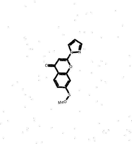 COSc1ccc2c(=O)cc(-n3cccn3)oc2c1